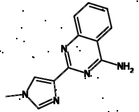 Cn1cnc(-c2nc(N)c3ccccc3n2)c1